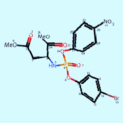 COC(=O)C[C@H](NP(=O)(Oc1ccc(Br)cc1)Oc1ccc([N+](=O)[O-])cc1)C(=O)OC